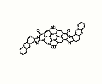 O=c1c2cc(Cl)c3c4c(Cl)cc5c(=O)n6c(nc7ccc8cc9ccccc9cc8c76)c6cc(Cl)c(c7c(Cl)cc(c2c37)c2nc3c7cc8ccccc8cc7ccc3n12)c4c56